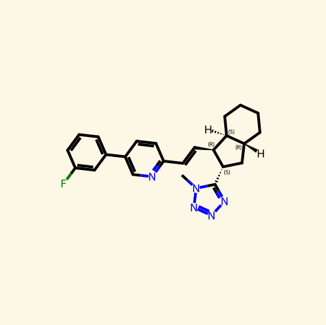 Cn1nnnc1[C@H]1C[C@H]2CCCC[C@@H]2[C@@H]1C=Cc1ccc(-c2cccc(F)c2)cn1